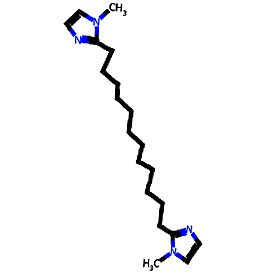 Cn1ccnc1CCCCCCCCCCCCc1nccn1C